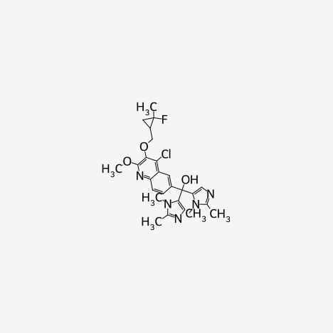 COc1nc2ccc(C(O)(c3cnc(C)n3C)c3cnc(C)n3C)cc2c(Cl)c1OCC1CC1(C)F